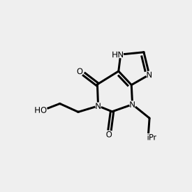 CC(C)Cn1c(=O)n(CCO)c(=O)c2[nH]cnc21